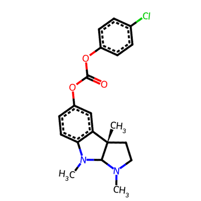 CN1CC[C@@]2(C)c3cc(OC(=O)Oc4ccc(Cl)cc4)ccc3N(C)C12